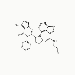 O=C(NCCO)c1c[nH]c2ncnc(N3CCCC3c3nn4ccc(Cl)c4c(=O)n3-c3ccccc3)c12